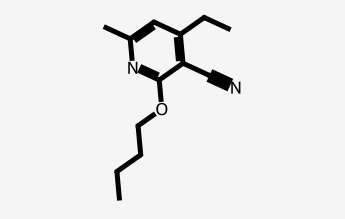 CCCCOc1nc(C)cc(CC)c1C#N